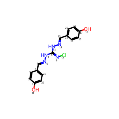 Oc1ccc(/C=N/NC(=NCl)N/N=C/c2ccc(O)cc2)cc1